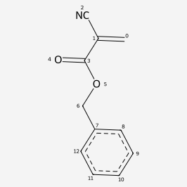 C=C(C#N)C(=O)OCc1ccccc1